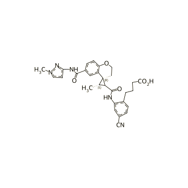 C[C@H]1C(C(=O)Nc2cc(C#N)ccc2CCCC(=O)O)[C@@]12CCOc1ccc(C(=O)Nc3ccn(C)n3)cc12